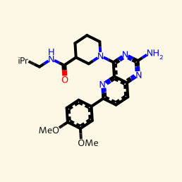 COc1ccc(-c2ccc3nc(N)nc(N4CCCC(C(=O)NCC(C)C)C4)c3n2)cc1OC